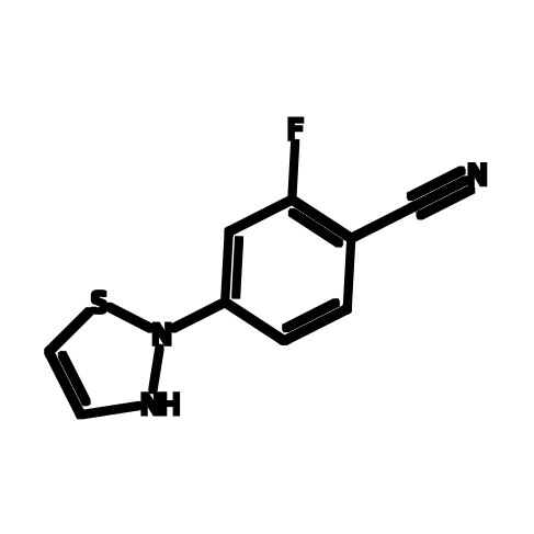 N#Cc1ccc(N2NC=CS2)cc1F